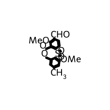 COc1cc(C)cc2c1S(=O)(=O)c1ccc(C=O)c(OC)c1C(=O)OC2